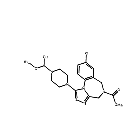 COC(=O)N1Cc2cc(Cl)ccc2-n2c(nnc2N2CCN(C(O)OC(C)(C)C)CC2)C1